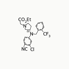 [C-]#[N+]c1ccc(N(Cc2ccccc2C(F)(F)F)[C@H]2CCN(CC(=O)OCC)C2)cc1Cl